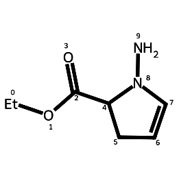 CCOC(=O)C1CC=CN1N